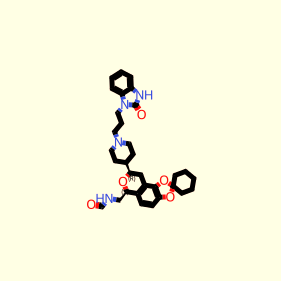 O=CNC[C@H]1O[C@@H](C2CCN(CCCn3c(=O)[nH]c4ccccc43)CC2)Cc2c1ccc1c2OC2(CCCCC2)O1